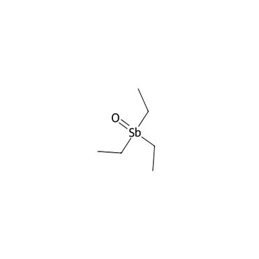 C[CH2][Sb](=[O])([CH2]C)[CH2]C